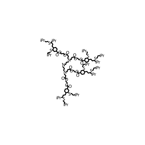 CC(C)CCSC(CCC1CCC(C(=O)OCCOC(=O)CCN(CCCN(C)CCCN(CCC(=O)OCCOC(=O)C2CCC(CCC(SCCC(C)C)C(C)C)C(SCCC(C)C)C2)CCC(=O)OCCOC(=O)C2CCC(CCC(SCCC(C)C)C(C)C)C(SCCC(C)C)C2)CCC(=O)OCCOC(=O)C2CCC(CCC(SCCC(C)C)C(C)C)C(SCCC(C)C)C2)CC1SCCC(C)C)C(C)C